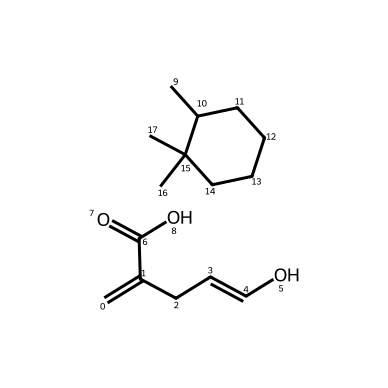 C=C(CC=CO)C(=O)O.CC1CCCCC1(C)C